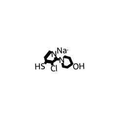 OC1CCN(c2nccc(S)c2Cl)CC1.[Na]